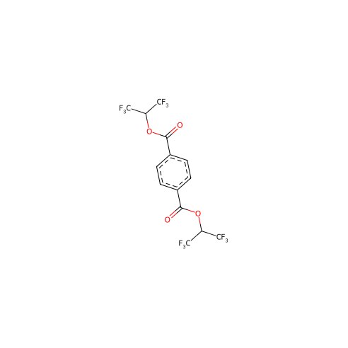 O=C(OC(C(F)(F)F)C(F)(F)F)c1ccc(C(=O)OC(C(F)(F)F)C(F)(F)F)cc1